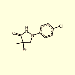 CCC1(C)CN(c2ccc(Cl)cc2)NC1=O